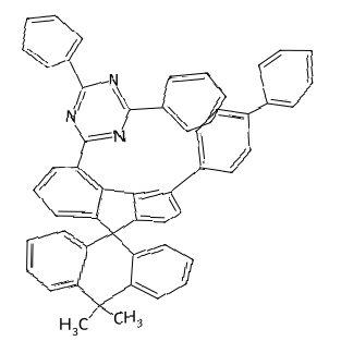 CC1(C)c2ccccc2C2(c3ccc(-c4ccc(-c5ccccc5)cc4)cc3-c3c(-c4nc(-c5ccccc5)nc(-c5ccccc5)n4)cccc32)c2ccccc21